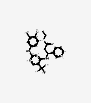 CCOC(=O)CC(Nc1nc(Nc2ccc(Cl)c(Cl)c2)ncc1C(F)(F)F)c1cccnc1